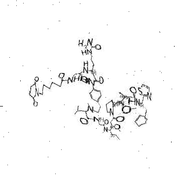 CC[C@H](C)C([C@@H](CC(=O)N1CCC[C@H]1[C@H](OC)[C@@H](C)C(=O)N[C@@H](Cc1ccccc1)c1nccs1)OC)N(C)C(=O)CNC(=O)C(C(C)C)N(C)CCc1ccc(NC(=O)[C@H](CCCNC(N)=O)NC(=O)CNC(=O)CCCCCN2C(=O)C=CC2=O)cc1